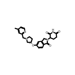 Cc1ccnc(CN2CC[C@H](Oc3ccc4c(c3)CN(C3CCC(=O)NC3=O)C4=O)C2)c1